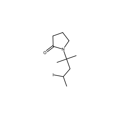 CC(I)CC(C)(C)N1CCCC1=O